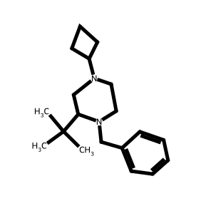 CC(C)(C)C1CN(C2CCC2)CCN1Cc1ccccc1